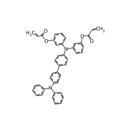 C=CC(=O)Oc1cccc(N(c2ccc(-c3ccc(N(c4ccccc4)c4ccccc4)cc3)cc2)c2cccc(OC(=O)C=C)c2)c1